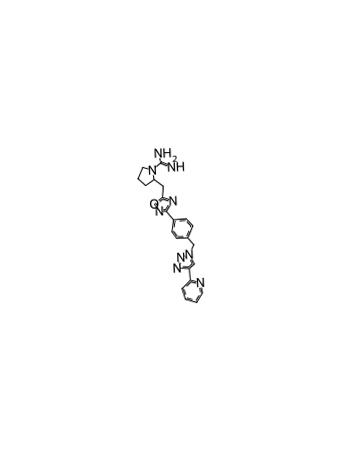 N=C(N)N1CCCC1Cc1nc(-c2ccc(Cn3cc(-c4ccccn4)nn3)cc2)no1